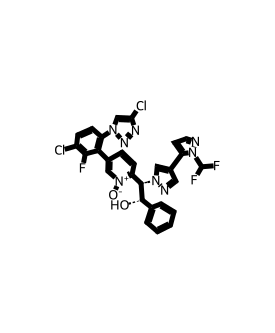 [O-][n+]1cc(-c2c(-n3cc(Cl)nn3)ccc(Cl)c2F)ccc1[C@@H]([C@@H](O)c1ccccc1)n1cc(-c2ccnn2C(F)F)cn1